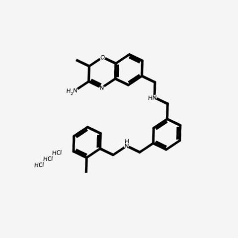 Cc1ccccc1CNCc1cccc(CNCc2ccc3c(c2)N=C(N)C(C)O3)c1.Cl.Cl.Cl